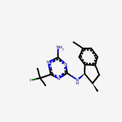 Cc1ccc2c(c1)[C@H](Nc1nc(N)nc(C(C)(C)F)n1)[C@H](C)C2